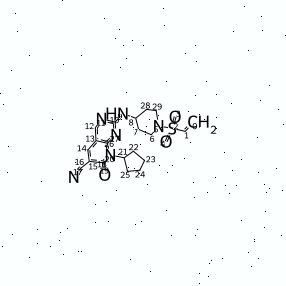 C=CS(=O)(=O)N1CCC(Nc2ncc3cc(C#N)c(=O)n(C4CCCC4)c3n2)CC1